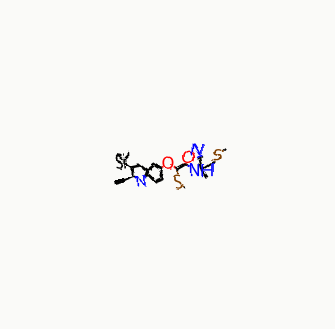 C#Cc1nc2ccc(OC(SC)C(=O)NC(C)(C#N)CSC)cc2cc1[Si](C)(C)C